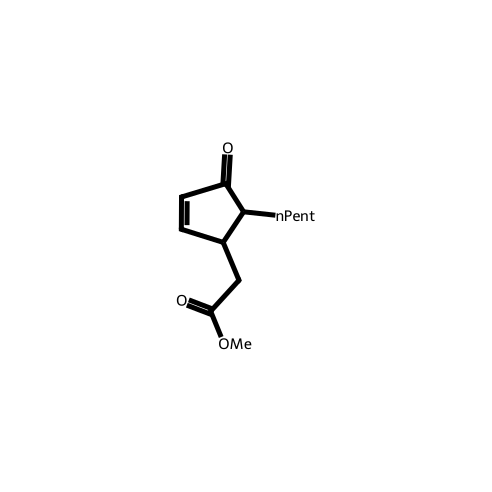 CCCCCC1C(=O)C=CC1CC(=O)OC